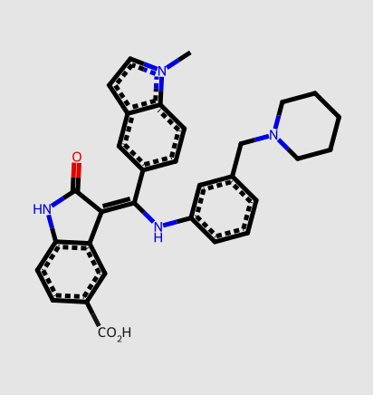 Cn1ccc2cc(C(Nc3cccc(CN4CCCCC4)c3)=C3C(=O)Nc4ccc(C(=O)O)cc43)ccc21